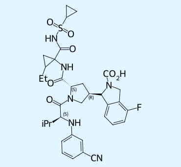 CCC1CC1(NC(=O)[C@@H]1C[C@@H](C2c3cccc(F)c3CN2C(=O)O)CN1C(=O)[C@@H](Nc1cccc(C#N)c1)C(C)C)C(=O)NS(=O)(=O)C1CC1